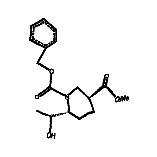 COC(=O)[C@H]1CC[C@H](C(C)O)N(C(=O)OCc2ccccc2)C1